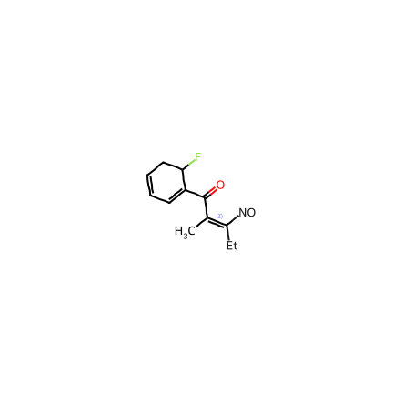 CC/C(N=O)=C(\C)C(=O)C1=CC=CCC1F